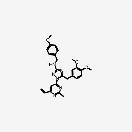 C=Cc1cc(-n2nc(NCc3ccc(OC)cc3)nc2Cc2ccc(OC)c(OC)c2)nc(C)n1